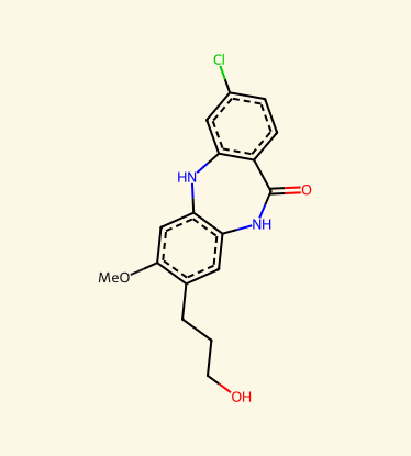 COc1cc2c(cc1CCCO)NC(=O)c1ccc(Cl)cc1N2